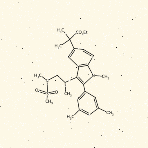 CCOC(=O)C(C)(C)c1ccc2c(c1)c(C(C)CN(C)S(C)(=O)=O)c(-c1cc(C)cc(C)c1)n2C